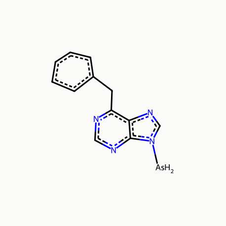 [AsH2]n1cnc2c(Cc3ccccc3)ncnc21